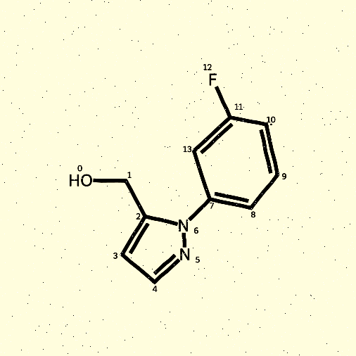 OCc1ccnn1-c1cc[c]c(F)c1